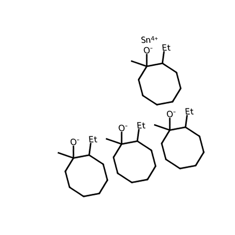 CCC1CCCCCCC1(C)[O-].CCC1CCCCCCC1(C)[O-].CCC1CCCCCCC1(C)[O-].CCC1CCCCCCC1(C)[O-].[Sn+4]